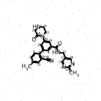 Cc1ccc(-c2cc(C(=O)NCc3cnc(C)nc3)cc(N3CCNCC3=O)c2)c(C#N)c1